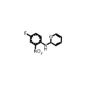 O=[N+]([O-])c1cc(F)ccc1NC1C=CC=CO1